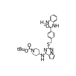 CC(C)(C)OC(=O)N1CCC(Nc2nc(SCc3ccc(C(=O)Nc4ccccc4N)cc3)nn3cccc23)CC1